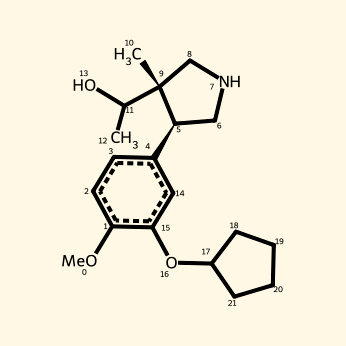 COc1ccc([C@@H]2CNC[C@@]2(C)C(C)O)cc1OC1CCCC1